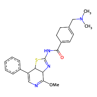 COC1=NC=C(c2ccccc2)C2SC(NC(=O)C3=CC=C(CN(C)C)CC3)=NC12